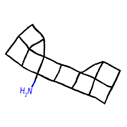 NC12C3C4C5CC6CC7C65C47C3C13C1CC4CC2C413